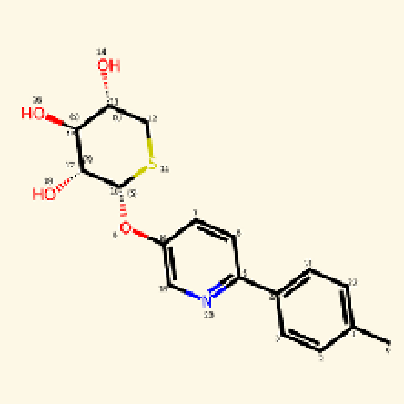 Cc1ccc(-c2ccc(O[C@H]3SC[C@@H](O)[C@H](O)[C@H]3O)cn2)cc1